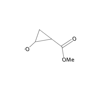 COC(=O)C1CC1[O]